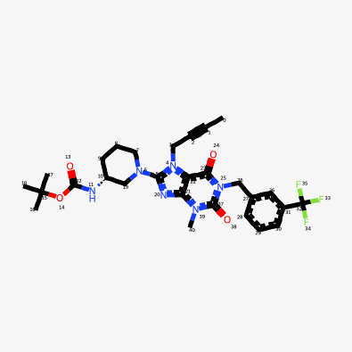 CC#CCn1c(N2CCC[C@@H](NC(=O)OC(C)(C)C)C2)nc2c1c(=O)n(Cc1cccc(C(F)(F)F)c1)c(=O)n2C